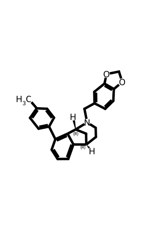 Cc1ccc(-c2cccc3c2[C@H]2C[C@H]3CCN2Cc2ccc3c(c2)OCO3)cc1